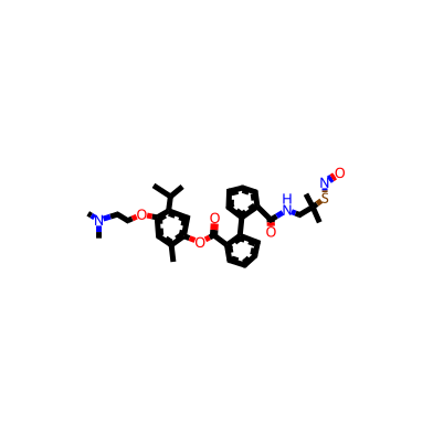 Cc1cc(OCCN(C)C)c(C(C)C)cc1OC(=O)c1ccccc1-c1ccccc1C(=O)NCC(C)(C)SN=O